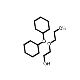 C1CCC(OC2CCCCC2)CC1.OCCOCCO